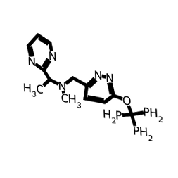 CC(c1ncccn1)N(C)Cc1ccc(OC(P)(P)P)nn1